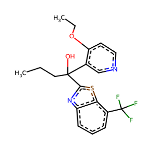 CCCC(O)(c1nc2cccc(C(F)(F)F)c2s1)c1cnccc1OCC